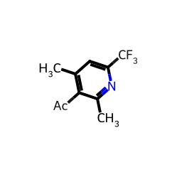 CC(=O)c1c(C)cc(C(F)(F)F)nc1C